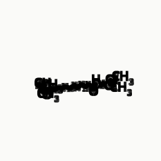 CCC(C)(C)OCCOC(=O)CCCCCCCCCCCC(=O)C(C)(C)CC